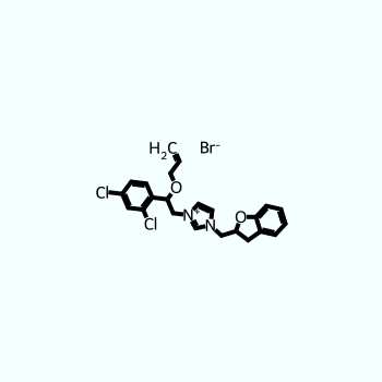 C=CCOC(C[n+]1ccn(CC2Cc3ccccc3O2)c1)c1ccc(Cl)cc1Cl.[Br-]